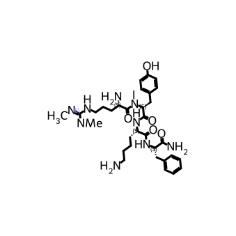 C/N=C(\NC)NCCC[C@H](N)C(=O)N(I)[C@@H](Cc1ccc(O)cc1)C(=O)N[C@@H](CCCCN)C(=O)N[C@@H](Cc1ccccc1)C(N)=O